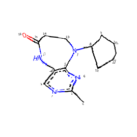 Cc1ncc2c(n1)N(C1CCCC1)CCC(=O)N2